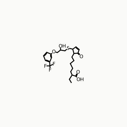 CCC(CCCCCC1C(=O)C=CC1SCC(O)COc1cccc(C(F)(F)F)c1)C(=O)O